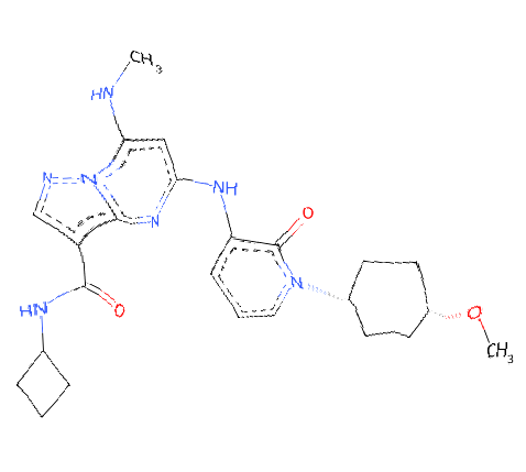 CNc1cc(Nc2cccn([C@H]3CC[C@@H](OC)CC3)c2=O)nc2c(C(=O)NC3CCC3)cnn12